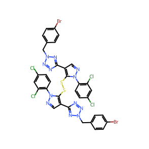 Clc1ccc(-n2ncc(-c3nnn(Cc4ccc(Br)cc4)n3)c2SSc2c(-c3nnn(Cc4ccc(Br)cc4)n3)cnn2-c2ccc(Cl)cc2Cl)c(Cl)c1